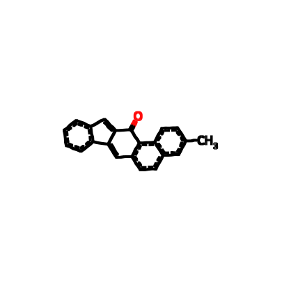 Cc1ccc2c3c(ccc2c1)C=C1C(=Cc2ccccc21)C3=O